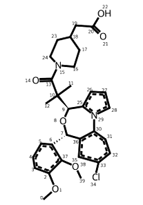 COc1cccc([C@@H]2O[C@@H](C(C)(C)C(=O)N3CCC(CC(=O)O)CC3)c3cccn3-c3ccc(Cl)cc32)c1OC